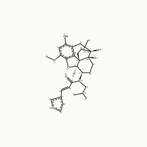 COc1cc(O)c2c3c1O[C@@H]1[C@H](N(CC(C)C)C(=O)C=Cc4ccoc4)CC[C@H]4[C@@H](C2)N(C)CC[C@]314